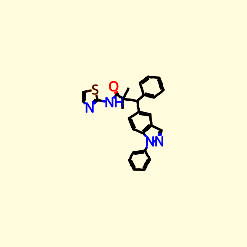 CC(C)(C(=O)Nc1nccs1)C(c1ccccc1)c1ccc2c(cnn2-c2ccccc2)c1